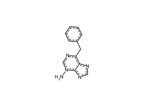 Nn1cnc(Cc2ccccc2)c2ncnc1-2